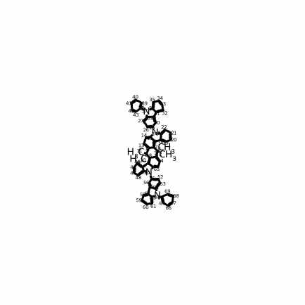 CC1(C)c2ccc3c(c2C(C)(C)c2ccc4c(c21)c1ccccc1n4-c1ccc2c(c1)c1ccccc1n2-c1ccccc1)c1ccccc1n3-c1ccc2c(c1)c1ccccc1n2-c1ccccc1